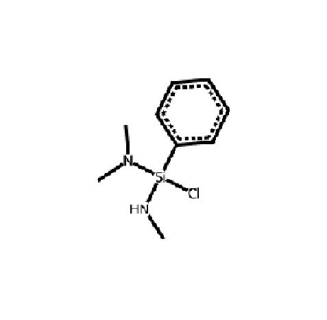 CN[Si](Cl)(c1ccccc1)N(C)C